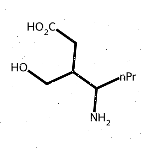 CCCC(N)C(CO)CC(=O)O